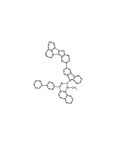 CN1c2c(ccc3ccccc23)C(c2ccc(-c3ccccc3)cc2)=NC1n1c2ccccc2c2cc(-c3ccc4sc5c(c4c3)-c3cccc4cccc-5c34)ccc21